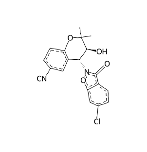 [C-]#[N+]c1ccc2c(c1)[C@@H](n1oc3cc(Cl)ccc3c1=O)[C@H](O)C(C)(C)O2